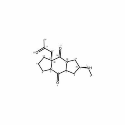 CN[C@H]1CC2C(=O)N3CCC[C@]3(CC(C)=O)C(=O)N2C1